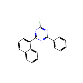 Brc1nc(-c2ccccc2)nc(-c2cccc3ccccc23)n1